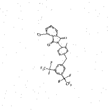 Cc1cc(Cc2cc(C(F)(F)C(F)(F)F)cc(C(F)(F)C(F)(F)F)c2)ccc1N1C(=O)c2cccc(Cl)c2C1=O